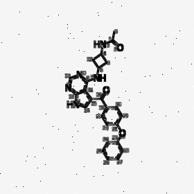 CC(=O)NC1CC(Nc2ncnc3[nH]cc(C(=O)c4ccc(Oc5ccccc5)cc4)c23)C1